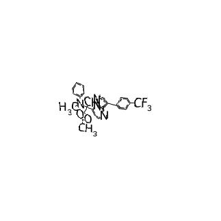 CC1OC(C(C)(c2ccnc3c(-c4ccc(C(F)(F)F)cc4)cnn23)N(C)c2ccccc2)O1